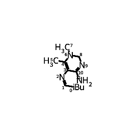 CCC(C)/C=N\C1=C(C)N(C)CN=C1N